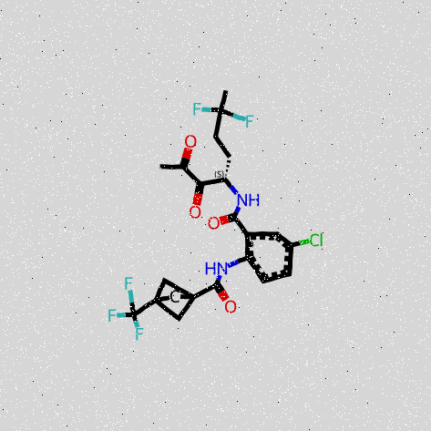 CC(=O)C(=O)[C@H](CCC(C)(F)F)NC(=O)c1cc(Cl)ccc1NC(=O)C12CC(C(F)(F)F)(C1)C2